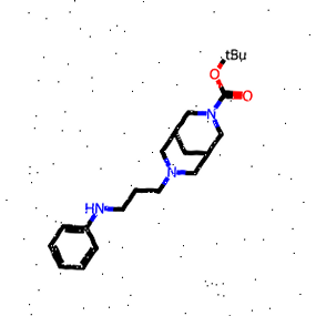 CC(C)(C)OC(=O)N1CC2CC(CN(CCCNc3ccccc3)C2)C1